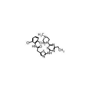 CCc1nc(Nc2ncc(CC(=O)Nc3c(C)cccc3Cl)s2)nc(N2CCN(C)CC2)n1